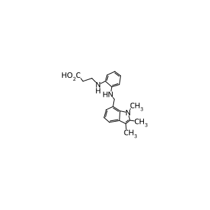 Cc1c(C)n(C)c2c(CNc3ccccc3NCCC(=O)O)cccc12